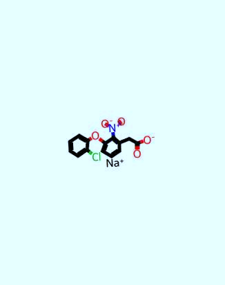 O=C([O-])Cc1cccc(Oc2ccccc2Cl)c1[N+](=O)[O-].[Na+]